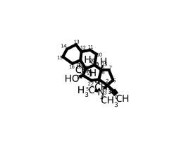 C#CC1(N(C)C)CC[C@H]2[C@@H]3CCC4CCCC[C@]4(C)[C@@H]3C(O)C[C@@]21C